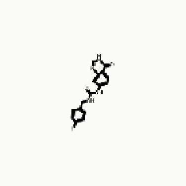 O=C(NCc1ccc(F)cc1)Nc1ccc2c(=O)[nH]cnc2c1